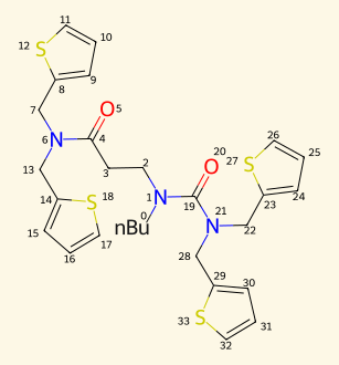 CCCCN(CCC(=O)N(Cc1cccs1)Cc1cccs1)C(=O)N(Cc1cccs1)Cc1cccs1